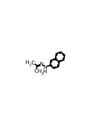 CC(C)=NNc1ccc2ccccc2c1